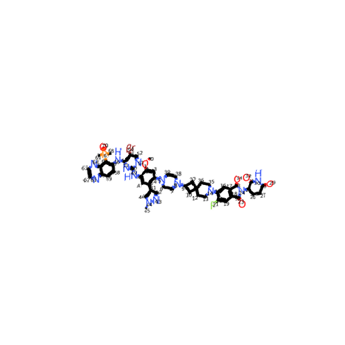 COc1cc(N2CCN(C3CC4(CCN(c5cc6c(cc5F)C(=O)N(C5CCC(=O)NC5=O)C6=O)CC4)C3)CC2)c(-c2cnn(C)c2)cc1Nc1ncc(Br)c(Nc2ccc3nccnc3c2P(C)(C)=O)n1